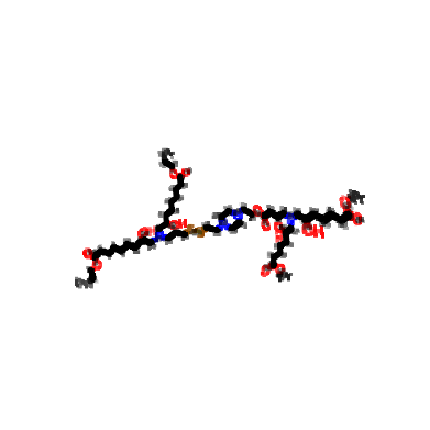 CC(C)CCOC(=O)CCCCCCC(O)CN(CCCSSCCN1CCN(CCOC(=O)CCCN(CC(O)CCCCC(=O)OC(C)C)CC(O)CCCCC(=O)OC(C)C)CC1)CC(O)CCCCCCC(=O)OCCC(C)C